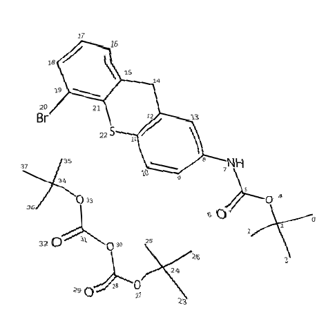 CC(C)(C)OC(=O)Nc1ccc2c(c1)Cc1cccc(Br)c1S2.CC(C)(C)OC(=O)OC(=O)OC(C)(C)C